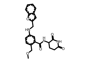 COCc1ccc(NCc2cc3ccccc3o2)cc1C(=O)NC1CCC(=O)NC1=O